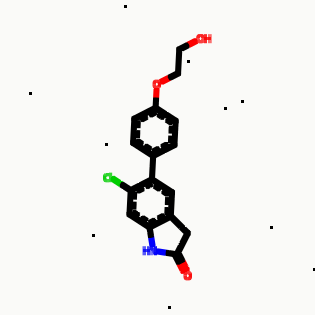 O=C1Cc2cc(-c3ccc(OCCO)cc3)c(Cl)cc2N1